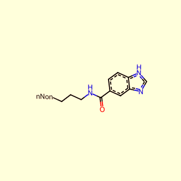 CCCCCCCCCCCCNC(=O)c1ccc2[nH]cnc2c1